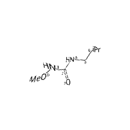 CONC(=O)NCC(C)C